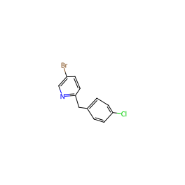 Clc1ccc(Cc2ccc(Br)cn2)cc1